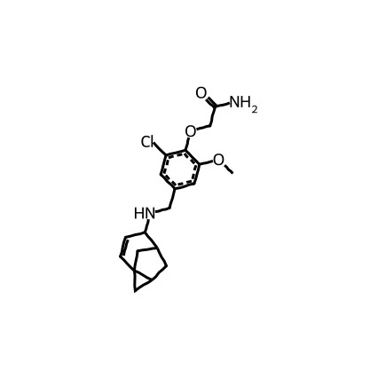 COc1cc(CNC2C=CC34CC2CC3C4)cc(Cl)c1OCC(N)=O